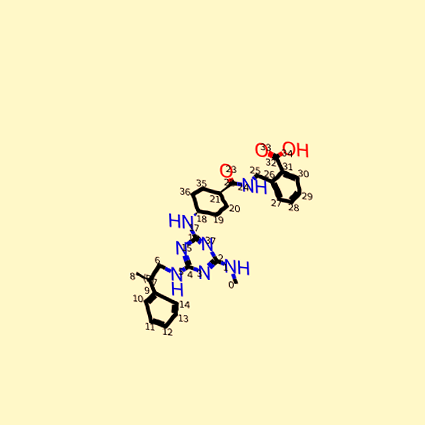 CNc1nc(NC[C@H](C)c2ccccc2)nc(N[C@H]2CC[C@H](C(=O)NCc3ccccc3C(=O)O)CC2)n1